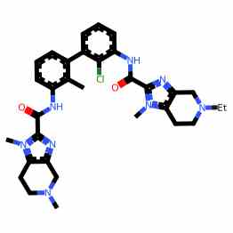 CCN1CCc2c(nc(C(=O)Nc3cccc(-c4cccc(NC(=O)c5nc6c(n5C)CCN(C)C6)c4C)c3Cl)n2C)C1